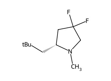 CN1CC(F)(F)C[C@H]1CC(C)(C)C